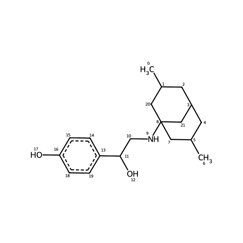 CC1CC2CC(C)CC(NCC(O)c3ccc(O)cc3)(C1)C2